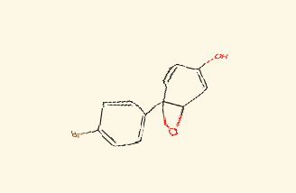 OC1=CC2OC2(c2ccc(Br)cc2)C=C1